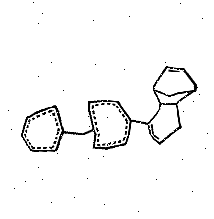 C1=CC2CC1C1CC=C(c3ccc(-c4ccccc4)cc3)C21